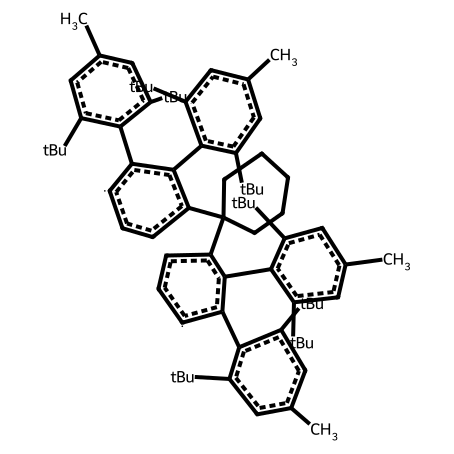 Cc1cc(C(C)(C)C)c(-c2[c]ccc(C3(c4cc[c]c(-c5c(C(C)(C)C)cc(C)cc5C(C)(C)C)c4-c4c(C(C)(C)C)cc(C)cc4C(C)(C)C)CCCCC3)c2-c2c(C(C)(C)C)cc(C)cc2C(C)(C)C)c(C(C)(C)C)c1